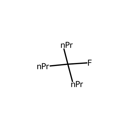 CCCC(F)(CCC)CCC